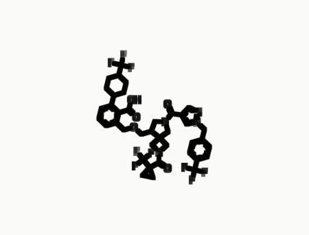 O=C(O)c1c(COCC2CN(C(=O)c3cnn(Cc4ccc(C(F)(F)F)cc4)c3)CC23CN(C(=O)C2(C(F)(F)F)CC2)C3)cccc1C1CCC(C(F)(F)F)CC1